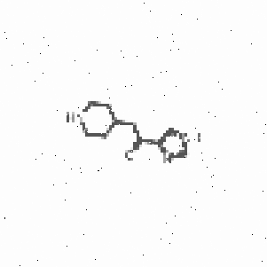 O=C(CC1CCNCC1)c1c[nH][c]n1